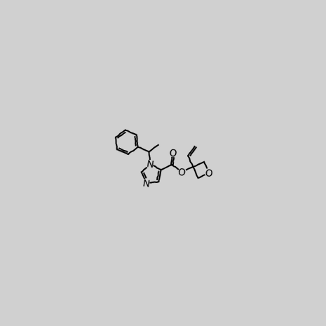 C=CC1(OC(=O)c2cncn2C(C)c2ccccc2)COC1